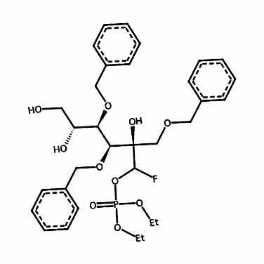 CCOP(=O)(OCC)OC(F)[C@@](O)(COCc1ccccc1)[C@@H](OCc1ccccc1)[C@H](OCc1ccccc1)[C@H](O)CO